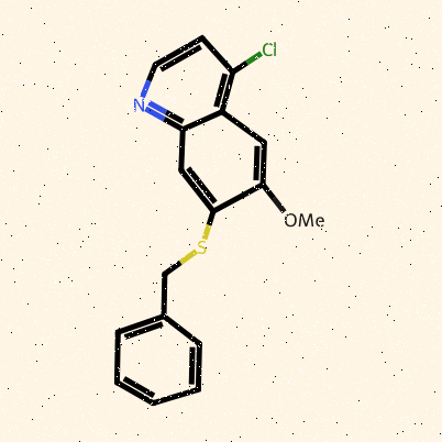 COc1cc2c(Cl)ccnc2cc1SCc1ccccc1